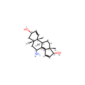 C[C@]12C=C[C@H](O)C[C@H]1C[C@H](N)C1=C3C=C[C@H](O)[C@@]3(C)CC[C@@H]12